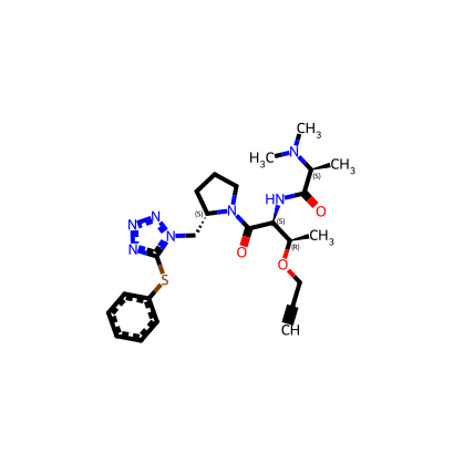 C#CCO[C@H](C)[C@H](NC(=O)[C@H](C)N(C)C)C(=O)N1CCC[C@H]1Cn1nnnc1Sc1ccccc1